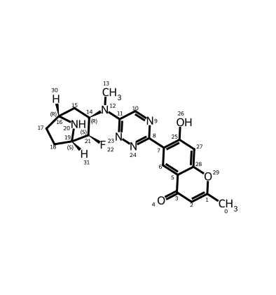 Cc1cc(=O)c2cc(-c3ncc(N(C)[C@@H]4C[C@H]5CC[C@H](N5)[C@@H]4F)nn3)c(O)cc2o1